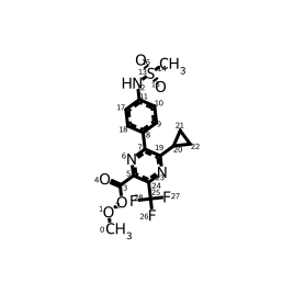 COOC(=O)c1nc(-c2ccc(NS(C)(=O)=O)cc2)c(C2CC2)nc1C(F)(F)F